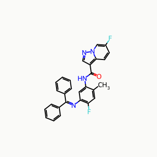 Cc1cc(F)c(N=C(c2ccccc2)c2ccccc2)cc1NC(=O)c1cnn2cc(F)ccc12